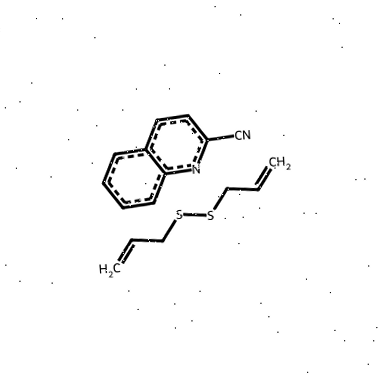 C=CCSSCC=C.N#Cc1ccc2ccccc2n1